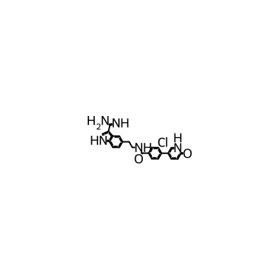 N=C(N)c1c[nH]c2ccc(CCNC(=O)c3ccc(-c4ccc(=O)[nH]c4)c(Cl)c3)cc12